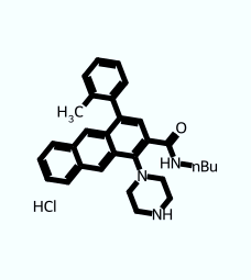 CCCCNC(=O)c1cc(-c2ccccc2C)c2cc3ccccc3cc2c1N1CCNCC1.Cl